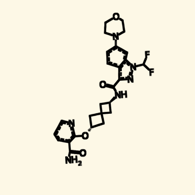 NC(=O)c1cccnc1O[C@H]1CC2(C[C@H](NC(=O)c3nn(C(F)F)c4cc(N5CCOCC5)ccc34)C2)C1